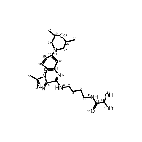 Cc1nnc2c(NCCCCNC(=O)C(O)C(C)C)nc3cc(N4CC(C)OC(C)C4)ccc3n12